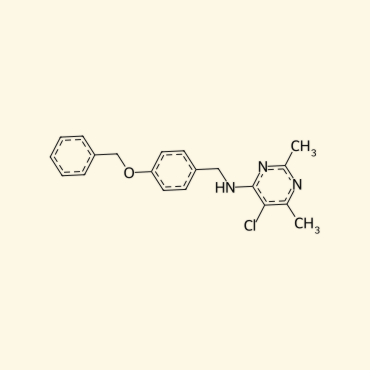 Cc1nc(C)c(Cl)c(NCc2ccc(OCc3ccccc3)cc2)n1